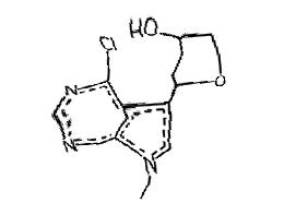 Cn1cc(C2OCC2O)c2c(Cl)ncnc21